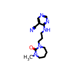 CN1CCCCN(CCCNc2ncncc2C#N)C1=O